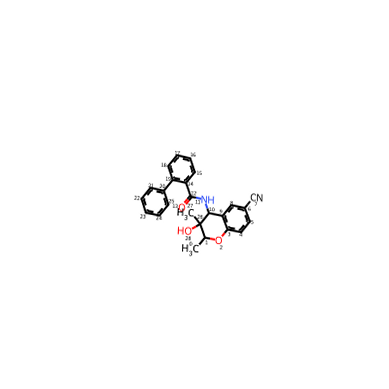 CC1Oc2ccc(C#N)cc2C(NC(=O)c2ccccc2-c2ccccc2)C1(C)O